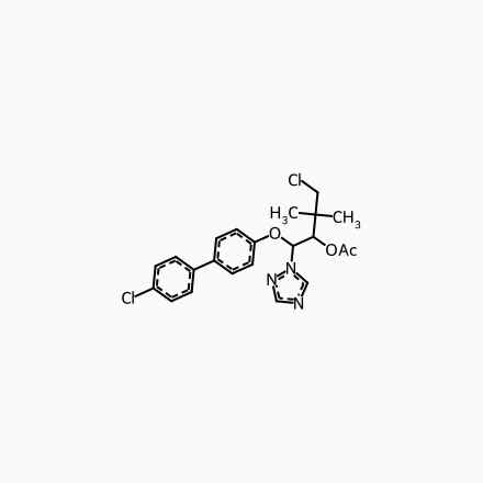 CC(=O)OC(C(Oc1ccc(-c2ccc(Cl)cc2)cc1)n1cncn1)C(C)(C)CCl